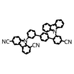 N#Cc1ccc(-c2ccc(-c3cccc(-n4c5ccc(C#N)cc5c5cccc(C#N)c54)c3)cc2)c(-n2c3ccccc3c3ccccc32)c1